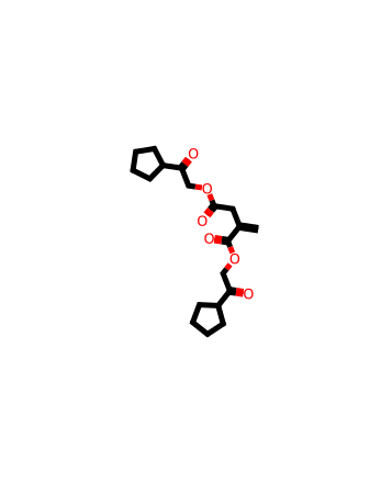 C=C(CC(=O)OCC(=O)C1CCCC1)C(=O)OCC(=O)C1CCCC1